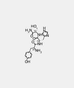 NC(=O)[C@H](CO)NC(=O)[C@H](Cc1c[nH]cn1)NC(=O)[C@@H](N)Cc1ccc(O)cc1